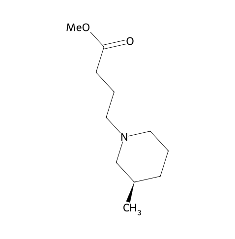 COC(=O)CCCN1CCC[C@@H](C)C1